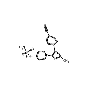 Cc1cc(-c2ccc(C#N)cc2)n(-c2ccc(NS(N)(=O)=O)cc2)n1